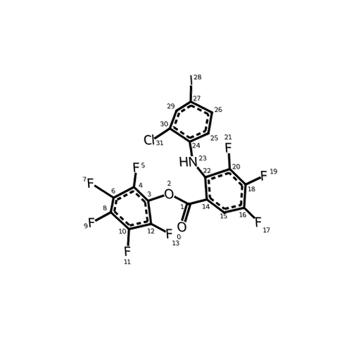 O=C(Oc1c(F)c(F)c(F)c(F)c1F)c1cc(F)c(F)c(F)c1Nc1ccc(I)cc1Cl